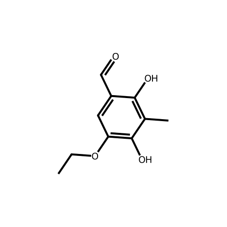 CCOc1cc(C=O)c(O)c(C)c1O